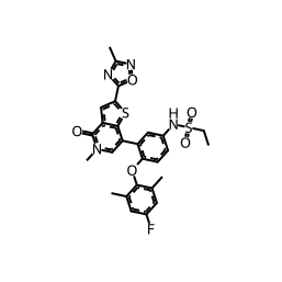 CCS(=O)(=O)Nc1ccc(Oc2c(C)cc(F)cc2C)c(-c2cn(C)c(=O)c3cc(-c4nc(C)no4)sc23)c1